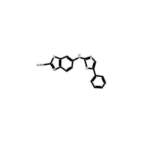 CC(=O)Nc1nc2ccc(Nc3ncc(-c4ccccc4)o3)cc2s1